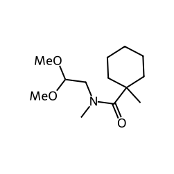 COC(CN(C)C(=O)C1(C)CCCCC1)OC